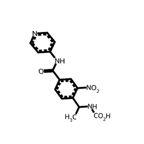 CC(NC(=O)O)c1ccc(C(=O)Nc2ccncc2)cc1[N+](=O)[O-]